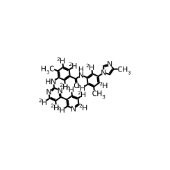 [2H]c1nc(Nc2c([2H])c(C(=O)Nc3c([2H])c(C)c([2H])c(-n4cnc(C)c4)c3[2H])c([2H])c([2H])c2C)nc(-c2c([2H])nc([2H])c([2H])c2[2H])c1[2H]